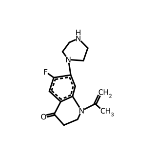 C=C(C)N1CCC(=O)c2cc(F)c(N3CCNCC3)cc21